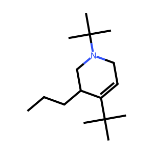 CCCC1CN(C(C)(C)C)CC=C1C(C)(C)C